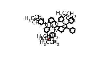 CC(C)(C)c1ccc(N2c3ccc(C(C)(C)C)cc3N3c4c2cccc4N(c2ccc(C(C)(C)C)cc2)c2c3n(-c3ccc(C(C)(C)C)cc3)c3ccc4c(-c5ccccc5)c(-c5ccccc5)sc4c23)cc1